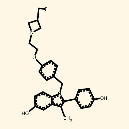 Cc1c(-c2ccc(O)cc2)n(Cc2ccc(OCCN3CC(CF)C3)cc2)c2ccc(O)cc12